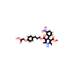 COC(=O)C1=C(C)NC(C)=C(C(=O)OCCCc2ccc(OCC(=O)O)cc2)C1c1cccc([N+](=O)[O-])c1